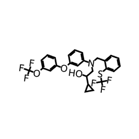 OC(CN(Cc1ccccc1SC(F)(F)F)c1cccc(Oc2cccc(OC(F)(F)F)c2)c1)C1CC1